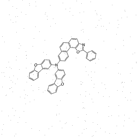 c1ccc(-c2nc3ccc4ccc5cc(N(c6ccc7oc8ccccc8c7c6)c6ccc7oc8ccccc8c7c6)ccc5c4c3o2)cc1